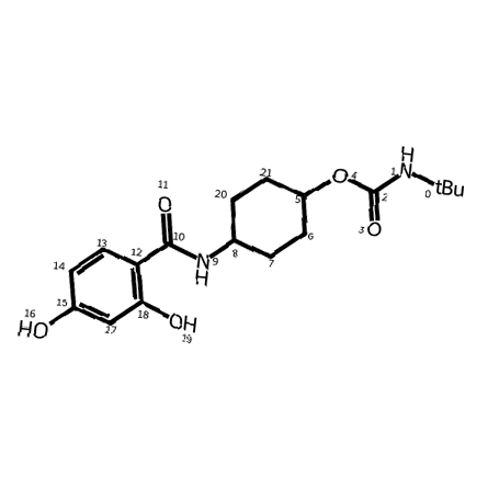 CC(C)(C)NC(=O)OC1CCC(NC(=O)c2ccc(O)cc2O)CC1